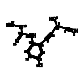 C#C[C@@H](O)C#Cc1cc(Cl)ncc1NC(=O)OC(C)(C)C